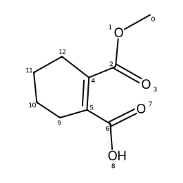 COC(=O)C1=C(C(=O)O)CCCC1